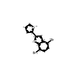 Brc1ccc(Br)c2sc(-c3cccs3)cc12